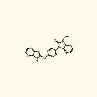 CCn1c(=O)n(-c2ccc(Oc3nc4cccnc4[nH]3)cc2)c2ncccc21